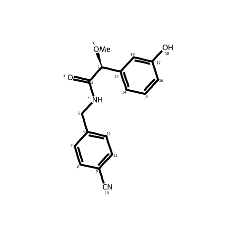 CO[C@H](C(=O)NCc1ccc(C#N)cc1)c1cccc(O)c1